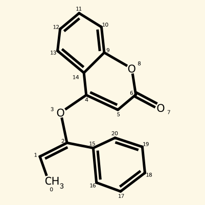 C/C=C(/Oc1cc(=O)oc2ccccc12)c1ccccc1